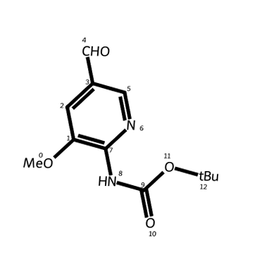 COc1cc(C=O)cnc1NC(=O)OC(C)(C)C